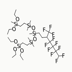 CCO[Si](C)(CC[Si](C)(C)O[Si](C)(CCC(C(F)(F)F)C(F)(F)C(F)(F)C(F)(F)C(F)F)O[Si](C)(C)CC[Si](OCC)(OCC)OCC)OCC